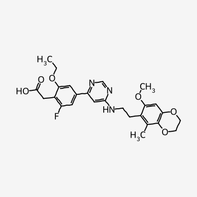 CCOc1cc(-c2cc(NCCc3c(OC)cc4c(c3C)OCCO4)ncn2)cc(F)c1CC(=O)O